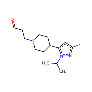 CC(C)n1nc(I)cc1C1CCN(CCC=O)CC1